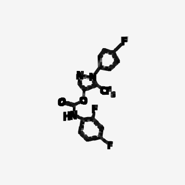 O=C(Nc1ccc(F)cc1F)Oc1cnn(-c2ccc(F)cc2)c1C(F)(F)F